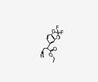 CCOC(=O)C(CC#N)c1ccc2c(c1)OC(F)(F)O2